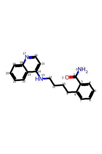 NC(=O)c1ccccc1CCCCNc1ccnc2ccccc12